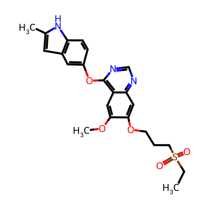 CCS(=O)(=O)CCCOc1cc2ncnc(Oc3ccc4[nH]c(C)cc4c3)c2cc1OC